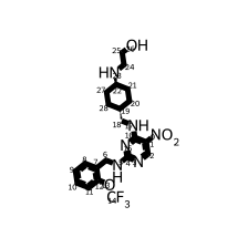 O=[N+]([O-])c1cnc(NCc2ccccc2OC(F)(F)F)nc1NC[C@H]1CC[C@H](NCCO)CC1